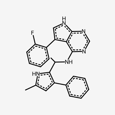 Cc1cc(-c2ccccc2)c(C(C)Nc2ncnc3[nH]cc(-c4ccccc4F)c23)[nH]1